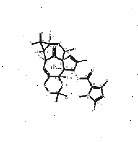 CC1=C[C@]23C(=O)[C@@H](C=C4COC(C)(C)O[C@H]4[C@]2(O)[C@H]1OC(=O)c1c(C)cc(C)n1C)[C@H]1[C@@H](C[C@H]3C)C1(C)C